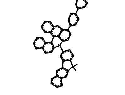 CC1(C)c2ccc(N(c3ccc(-c4ccc(-c5ccccc5)cc4)cc3)c3ccc4ccccc4c3-c3cccc4ccccc34)cc2-c2cc3ccccc3cc21